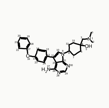 CN(C)CC1(O)CCC(n2cc(-c3ccc(Oc4ccccc4)cc3)c3c(N)ncnc32)CC1